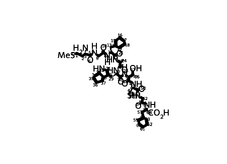 CSCC[C@H](N)C(=O)NCC(=O)N[C@@H](Cc1ccccc1)C(=O)N[C@@H](C)C(=O)N[C@@H](Cc1c[nH]c2ccccc12)C(=O)N[C@H](C(=O)N[C@@H](CS)C(=O)NCC(=O)N[C@@H](Cc1ccccc1)C(=O)O)[C@@H](C)O